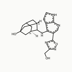 OCc1noc(-c2cnc3[nH]ccc3c2NC2[C@@H]3CC4C[C@H]2CC(O)(C4)C3)n1